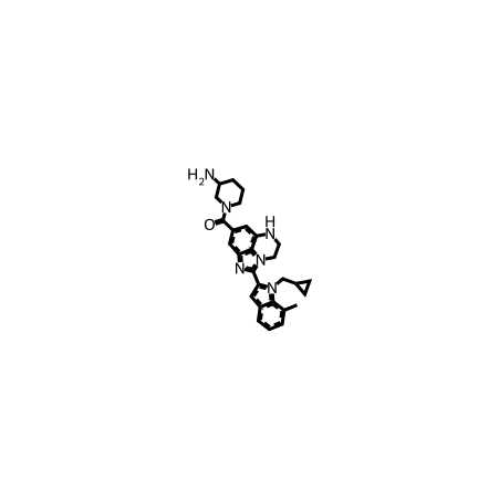 Cc1cccc2cc(-c3nc4cc(C(=O)N5CCCC(N)C5)cc5c4n3CCN5)n(CC3CC3)c12